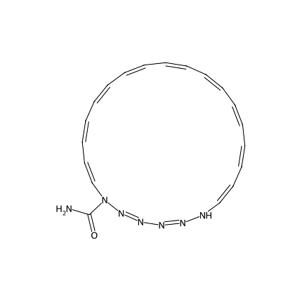 NC(=O)n1cccccccccccccccccc[nH]nnnn1